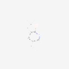 CC1(C)Cc2cc([N+](=O)[O-])c(Cl)nc2O1